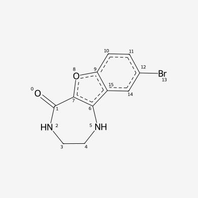 O=C1NCCNc2c1oc1ccc(Br)cc21